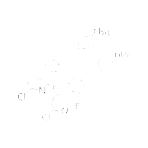 CCCC[C@H]1CC[C@H](CCc2ccc(-c3ccc(Cl)nc3F)cc2)CC1.CCC[C@H]1CC[C@H](CCc2ccc(-c3ccc(Cl)nc3F)cc2)CC1